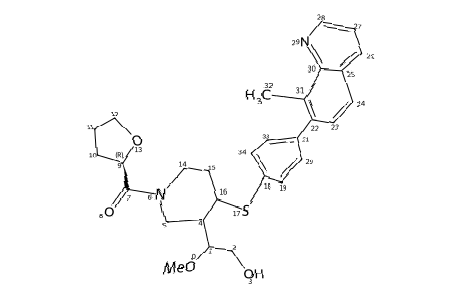 COC(CO)C1CN(C(=O)[C@H]2CCCO2)CCC1Sc1ccc(-c2ccc3cccnc3c2C)cc1